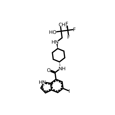 CC(O)(CN[C@H]1CC[C@H](NC(=O)c2cc(I)cc3cc[nH]c23)CC1)C(F)(F)F